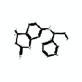 CCC(Oc1ccc2c(c1)OC(=O)CC2C)c1ccccc1